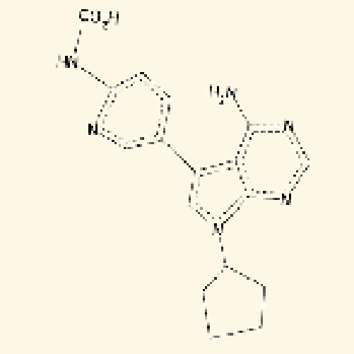 Nc1ncnc2c1c(-c1ccc(NC(=O)O)nc1)cn2C1CCCC1